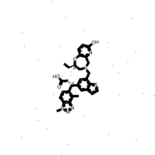 CC[C@@H]1CN(Cc2cc([C@@H](CC(=O)O)c3ccc4c(nnn4C)c3C)cc3ccsc23)Cc2nc(O)ccc2O1